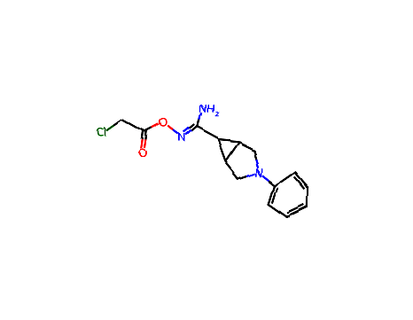 N/C(=N\OC(=O)CCl)C1C2CN(c3ccccc3)CC21